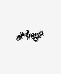 COc1cc(C(=O)Nc2cccc(-c3nc4ccccc4[nH]3)c2)ccc1OCC(=O)N1CCOCC1